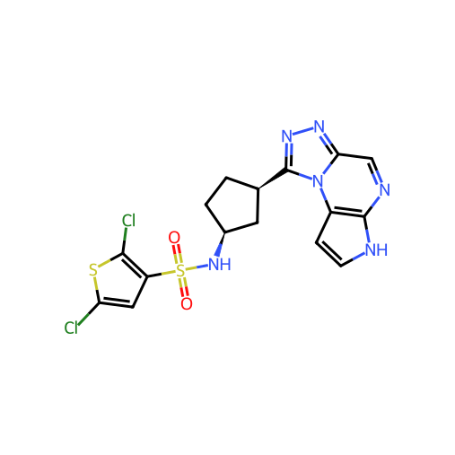 O=S(=O)(N[C@H]1CC[C@@H](c2nnc3cnc4[nH]ccc4n23)C1)c1cc(Cl)sc1Cl